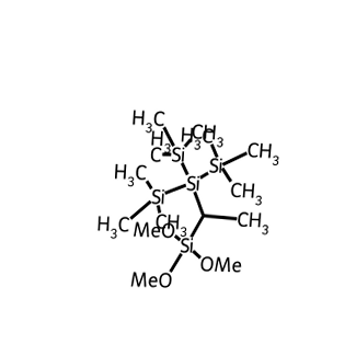 CO[Si](OC)(OC)C(C)[Si]([Si](C)(C)C)([Si](C)(C)C)[Si](C)(C)C